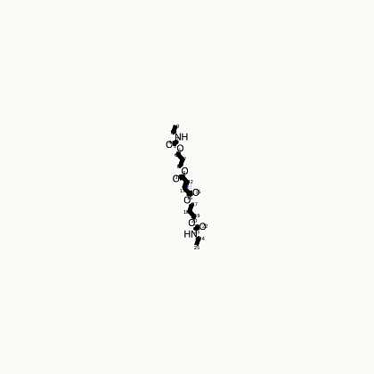 CCNC(=O)OCCCOC(=O)/C=C/C(=O)OCCCOC(=O)NCC